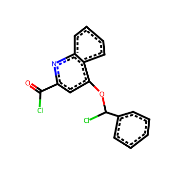 O=C(Cl)c1cc(OC(Cl)c2ccccc2)c2ccccc2n1